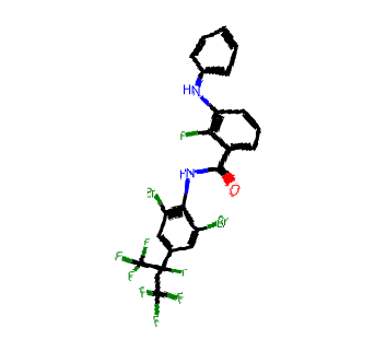 O=C(Nc1c(Br)cc(C(F)(C(F)(F)F)C(F)(F)F)cc1Br)c1cccc(Nc2ccccc2)c1F